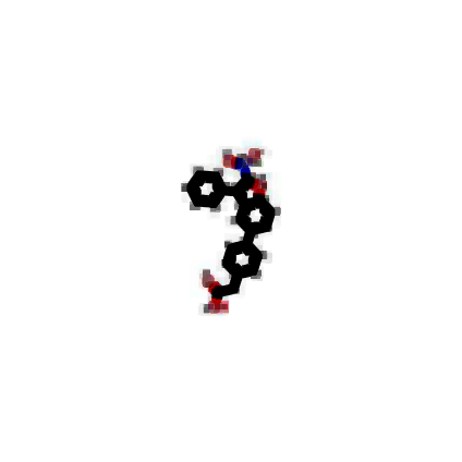 O=C(O)Cc1ccc(-c2ccc3oc([N+](=O)[O-])c(-c4ccccc4)c3c2)cc1